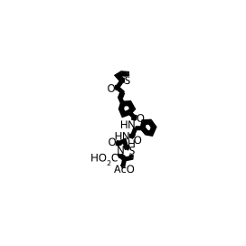 CC(=O)OCC1=C(C(=O)O)N2C(=O)[C@@H](NC(=O)C(NC(=O)c3ccc(C=CC(=O)c4cccs4)cc3)c3ccccc3)[C@H]2SC1